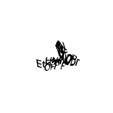 CCC(O)CONC(=O)c1cn2ccnc2c(F)c1Nc1ccc(Br)cc1F